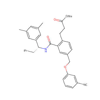 [C-]#[N+]c1cccc(OCc2ccc(CCC(=O)OC)c(C(=O)N[C@H](CC(C)C)c3cc(C)cc(C)c3)c2)c1